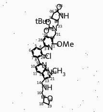 COc1nc(-c2cccc(-c3ccc4c(CNC[C@@H]5CCO5)cn(C)c4n3)c2Cl)ccc1CN(C[C@@H]1CCC(=O)N1)C(=O)OC(C)(C)C